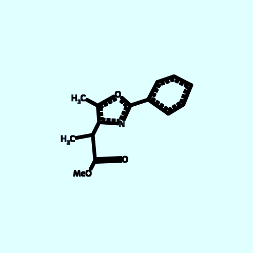 COC(=O)C(C)c1nc(-c2ccccc2)oc1C